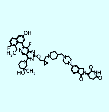 CCc1c(F)ccc2cc(O)cc(-c3ncc4c(N5CCC[C@@](C)(O)C5)nc(OCC5(CN6CCC(CN7CCN(c8ccc9c(c8)CN([C@@H]8CCC(=O)NC8=O)C9=O)CC7)CC6)CC5)nc4c3F)c12